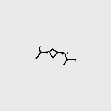 CC(C)NC1CN(C(C)C)C1